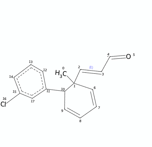 CC1(/C=C/[C]=O)C=CC=CC1c1cccc(Cl)c1